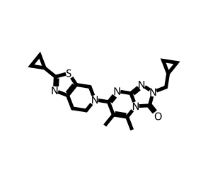 Cc1c(N2CCc3nc(C4CC4)sc3C2)nc2nn(CC3CC3)c(=O)n2c1C